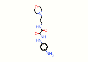 Nc1ccc(NNC(=O)C(=O)NCCCN2CCOCC2)cc1